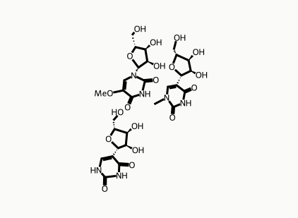 COc1cn([C@@H]2O[C@H](CO)[C@@H](O)[C@H]2O)c(=O)[nH]c1=O.Cn1cc([C@@H]2O[C@H](CO)[C@@H](O)[C@H]2O)c(=O)[nH]c1=O.O=c1[nH]cc([C@@H]2O[C@H](CO)[C@@H](O)[C@H]2O)c(=O)[nH]1